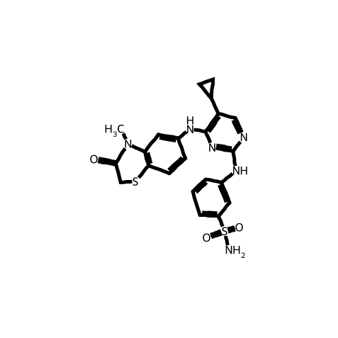 CN1C(=O)CSc2ccc(Nc3nc(Nc4cccc(S(N)(=O)=O)c4)ncc3C3CC3)cc21